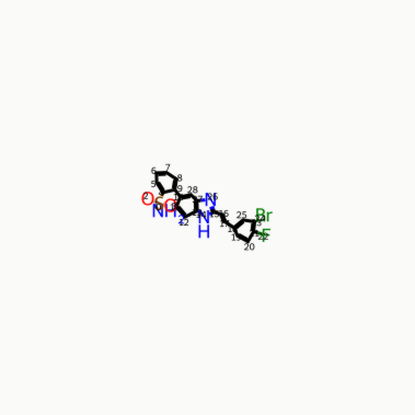 NS(=O)(=O)c1ccccc1-c1ccc2[nH]c(C=Cc3ccc(F)c(Br)c3)nc2c1